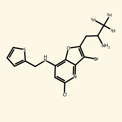 [2H]C([2H])([2H])C(N)Cc1oc2c(NCc3cccs3)cc(Cl)nc2c1Br